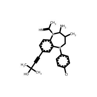 CC(=N)N1c2ccc(C#CC(C)(C)O)cc2N(c2ccc(Cl)cc2)CC(C)C1N